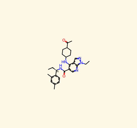 CC[C@@H](NC(=O)c1cnc2c(cnn2CC)c1NC1CCC(C(C)=O)CC1)c1ccc(C)cc1C